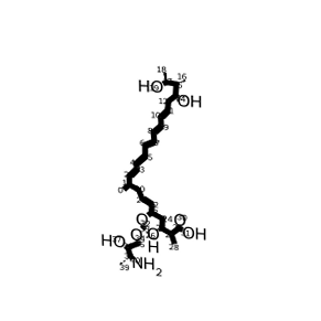 CC(/C=C/C=C/C=C/C=C/C=C/CC(O)[C@@H](C)[C@H](C)O)C/C=C/C(C[C@H](O)C(C)C(=O)O)OCOCC(O)[C@@H](C)N